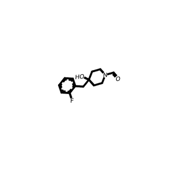 O=CN1CCC(O)(Cc2ccccc2F)CC1